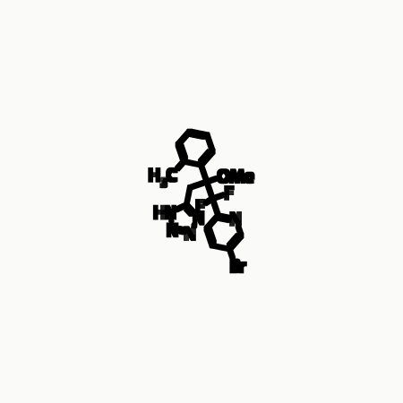 COC(Cc1nnn[nH]1)(c1ccccc1C)C(F)(F)c1ccc(Br)cn1